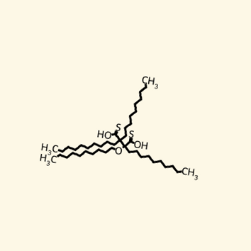 CCCCCCCCCCOC(CCCCCCCCCC)(C(O)=S)C(CCCCCCCCCC)(CCCCCCCCCC)C(O)=S